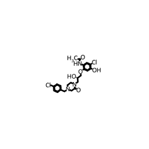 CC(=O)Nc1cc(Cl)c(O)cc1OC[C@@H](O)CN1CCN(Cc2ccc(Cl)cc2)CC1=O